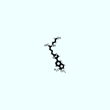 CCCC(CCCc1nc(-c2ccc3c(c2)CCC3(C)C)cs1)NCCCO